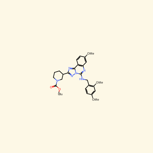 COc1ccc(CNc2nc3cc(OC)ccc3c3nc(C4CCCN(C(=O)OC(C)(C)C)C4)nn23)c(OC)c1